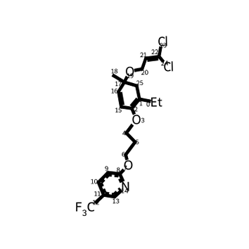 CCC1=C(OCCCOc2ccc(C(F)(F)F)cn2)C=CC(C)(OCC=C(Cl)Cl)C1